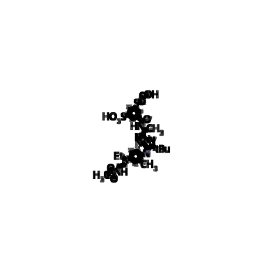 CCN(CCNS(C)(=O)=O)c1ccc(/N=C2/C(C(C)(C)C)=Nn3c2nnc3C(C)NC(=O)c2cc(SOOO)cc(S(=O)(=O)O)c2)c(C)c1